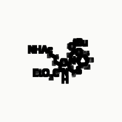 CCOC(=O)[C@H](CCCCNC(C)=O)N[C@H]1CSc2ccccc2N(CC(=O)OC(C)(C)C)C1=O